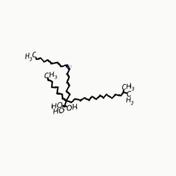 CCCCCCCC/C=C\CCCCCCC(CCCCCCCC)(CCCCCCCCCCCCCC(C)C)C(O)(O)O